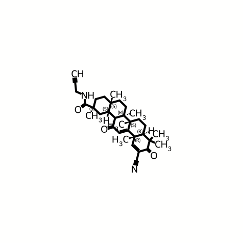 C#CCNC(=O)[C@@]1(C)CC[C@]2(C)CC[C@]3(C)C(C(=O)C=C4[C@@]5(C)C=C(C#N)C(=O)C(C)(C)[C@@H]5CC[C@]43C)[C@@H]2C1